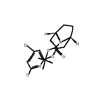 CC(C)(C)OC(=O)N1[C@@H]2CC[C@H]1C[C@H](Oc1cc(Cl)cc(Cl)n1)C2